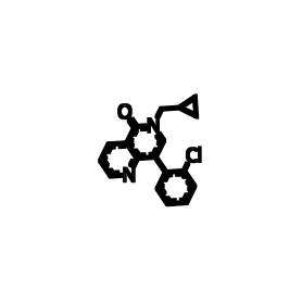 O=c1c2cccnc2c(-c2ccccc2Cl)cn1CC1CC1